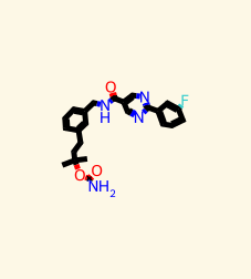 CC(C)(CCc1cccc(CNC(=O)c2cnc(-c3cccc(F)c3)nc2)c1)OC(N)=O